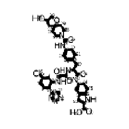 O=C(Nc1cc(Cl)ccc1-n1cnnn1)C(=O)NC(Cc1ccc(NC(=O)N2CCC3(CC2)CC(O)CO3)cc1)C(=O)Nc1ccc2[nH]c(C(=O)O)cc2c1